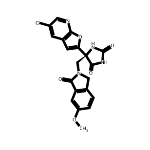 COc1ccc2c(c1)C(=O)N(C[C@@]1(c3cc4cc(Cl)cnc4o3)NC(=O)NC1=O)C2